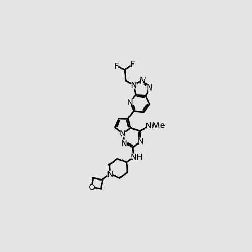 CNc1nc(NC2CCN(C3COC3)CC2)nn2ccc(-c3ccc4nnn(CC(F)F)c4n3)c12